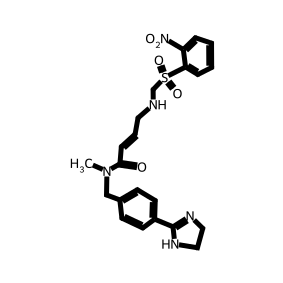 CN(Cc1ccc(C2=NCCN2)cc1)C(=O)C=CCNCS(=O)(=O)c1ccccc1[N+](=O)[O-]